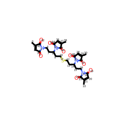 CC1=CC(=O)N(CCC(CCSCCC(CCN2C(=O)C=C(C)C2=O)N2C(=O)C=C(C)C2=O)N2C(=O)C=C(C)C2=O)C1=O